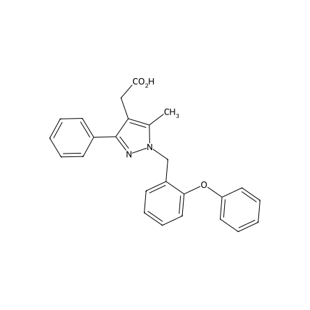 Cc1c(CC(=O)O)c(-c2ccccc2)nn1Cc1ccccc1Oc1ccccc1